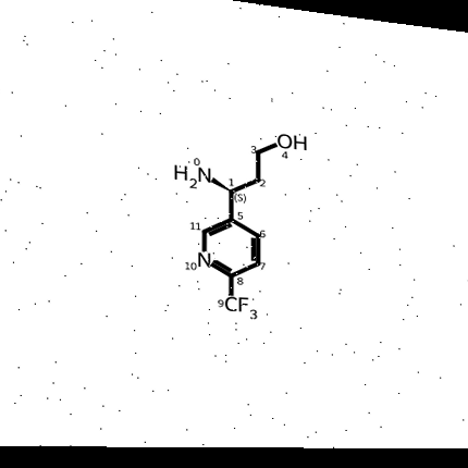 N[C@@H](CCO)c1ccc(C(F)(F)F)nc1